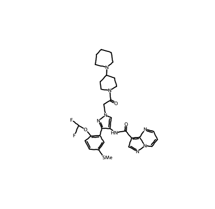 CSc1ccc(OC(F)F)c(-c2nn(CC(=O)N3CCC(N4CCCCC4)CC3)cc2NC(=O)c2cnn3cccnc23)c1